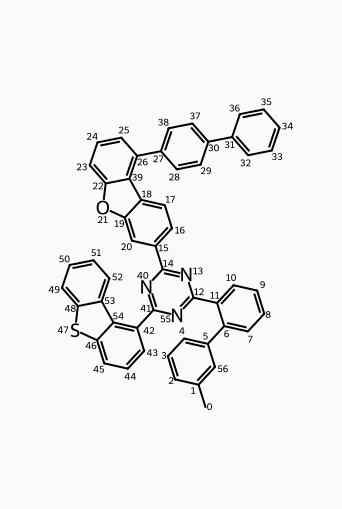 Cc1cccc(-c2ccccc2-c2nc(-c3ccc4c(c3)oc3cccc(-c5ccc(-c6ccccc6)cc5)c34)nc(-c3cccc4sc5ccccc5c34)n2)c1